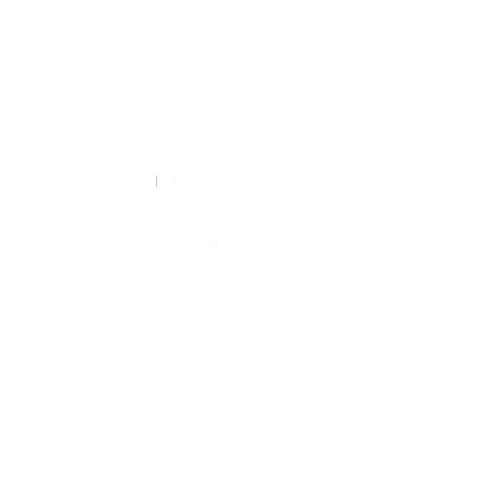 FC(F)(F)COc1ccccc1